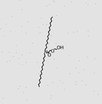 CCCCCCCCCCCCCCCCN(CCCCCCCCCCCCCCCC)C(=O)COCCO